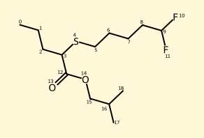 CCCC(SCCCCC(F)F)C(=O)OCC(C)C